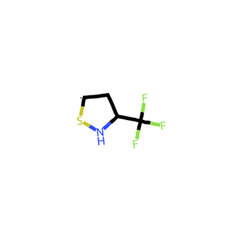 FC(F)(F)C1C[CH]SN1